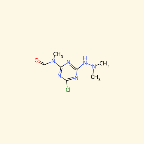 CN(C)Nc1nc(Cl)nc(N(C)[C]=O)n1